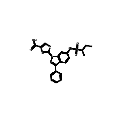 CCC(C)S(=O)(=O)Nc1ccc2c(-c3ccccc3)nn(-c3nc(C(=O)O)cs3)c2c1